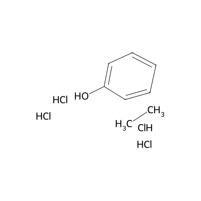 CC.Cl.Cl.Cl.Cl.Oc1ccccc1